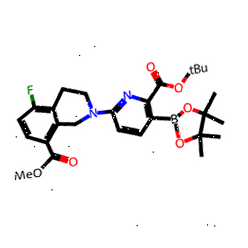 COC(=O)c1ccc(F)c2c1CN(c1ccc(B3OC(C)(C)C(C)(C)O3)c(C(=O)OC(C)(C)C)n1)CC2